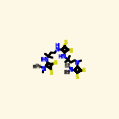 CCCN(C)c1c(NC(C)(C)CCNc2c(NC(C)(C)CCN(C)c3c(N(CC)CC)c(=S)c3=S)c(=S)c2=S)c(=S)c1=S